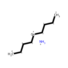 CCC[CH2][Sn][CH2]CCC.N